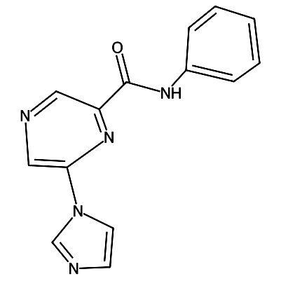 O=C(Nc1ccccc1)c1cncc(-n2ccnc2)n1